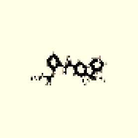 CC(C)(C)OC(=O)Nc1ccccc1NC(=O)c1ccc(C(C)(N)c2ccncc2)cc1